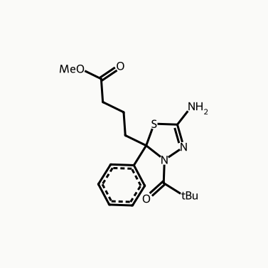 COC(=O)CCCC1(c2ccccc2)SC(N)=NN1C(=O)C(C)(C)C